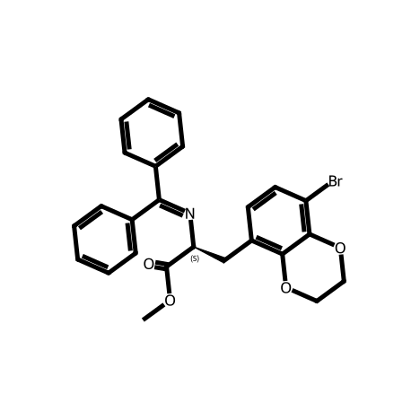 COC(=O)[C@H](Cc1ccc(Br)c2c1OCCO2)N=C(c1ccccc1)c1ccccc1